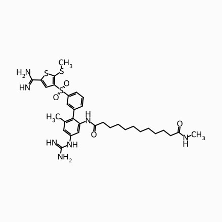 CNC(=O)CCCCCCCCCCC(=O)Nc1cc(NC(=N)N)cc(C)c1-c1cccc(S(=O)(=O)c2cc(C(=N)N)sc2SC)c1